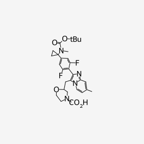 Cc1ccn2c(CC3CN(C(=O)O)CCO3)c(-c3c(F)cc(C4(N(C)C(=O)OC(C)(C)C)CC4)cc3F)nc2c1